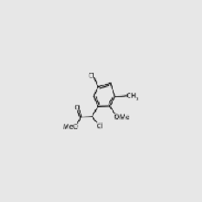 COC(=O)C(Cl)c1cc(Cl)cc(C)c1OC